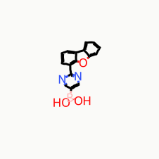 OB(O)c1cnc(-c2cccc3c2oc2ccccc23)nc1